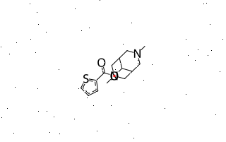 CN1CC2CN(C)CC(C1)C2OC(=O)c1cccs1